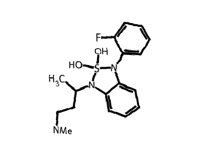 CNCCC(C)N1c2ccccc2N(c2ccccc2F)S1(O)O